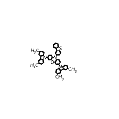 Cc1ccc2c(c1)c1cc(C)ccc1n2-c1ccc2c(c1)Oc1cc(-n3c4ccc(C)cc4c4cc(C)ccc43)ccc1N2c1ccc2sc3ccccc3c2c1